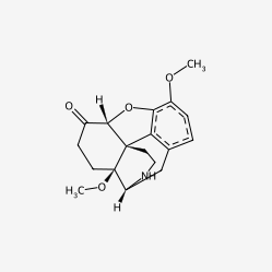 COc1ccc2c3c1O[C@H]1C(=O)CC[C@@]4(OC)[C@@H](C2)NCC[C@]314